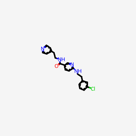 O=C(NCCc1ccncc1)c1ccc(NCCc2cccc(Cl)c2)nc1